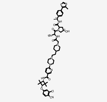 Cc1ncsc1-c1ccc([C@H](C)NC(=O)C2C[C@@H](O)CN2C(=O)C(NC(=O)CN2CCC(CCN3CCN(c4ccc(C(=O)N[C@H]5C(C)(C)[C@H](Oc6ccc(C#N)c(Cl)c6)C5(C)C)cn4)CC3)CC2)C(C)(C)C)cc1